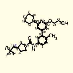 Cc1ccc(NC(=O)N2CC/C(=C\C(F)(F)F)C2)cc1-c1cc(OCCO)nc(N2CCOCC2)c1